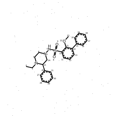 CCN1CCN(NS(=O)(=O)c2cccc(-c3ccccc3)c2OC)CC1c1ccccc1